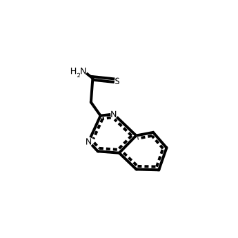 NC(=S)Cc1ncc2ccccc2n1